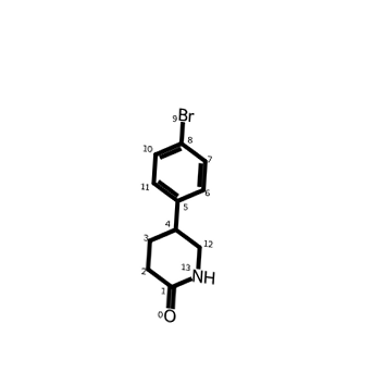 O=C1CCC(c2ccc(Br)cc2)CN1